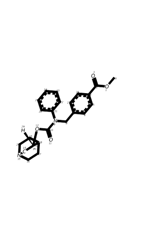 COC(=O)c1ccc(CN(C(=O)O[C@H]2CN3CCC2CC3)c2ccccc2)cc1